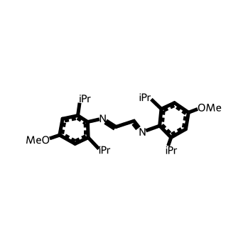 COc1cc(C(C)C)c(N=CC=Nc2c(C(C)C)cc(OC)cc2C(C)C)c(C(C)C)c1